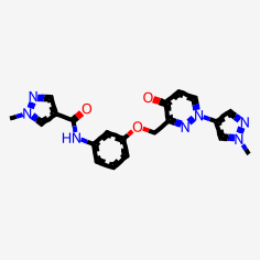 Cn1cc(C(=O)Nc2cccc(OCc3nn(-c4cnn(C)c4)ccc3=O)c2)cn1